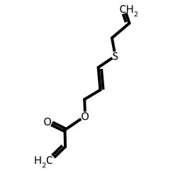 C=CCSC=CCOC(=O)C=C